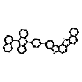 c1ccc2c(-c3c4ccccc4c(-c4ccc(-c5ccc6c(c5)sc5ccc7c8ccc9ccccc9c8sc7c56)cc4)c4ccccc34)cccc2c1